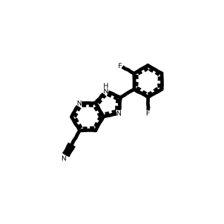 N#Cc1cnc2[nH]c(-c3c(F)cccc3F)nc2c1